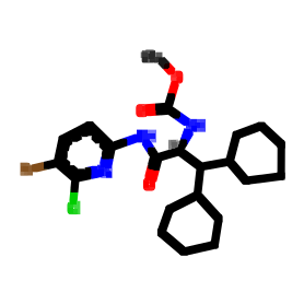 CC(C)(C)OC(=O)N[C@H](C(=O)Nc1ccc(Br)c(Cl)n1)C(C1CCCCC1)C1CCCCC1